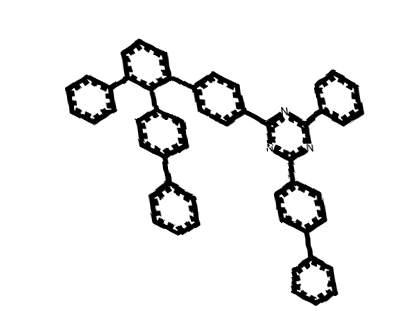 c1ccc(-c2ccc(-c3nc(-c4ccccc4)nc(-c4ccc(-c5cccc(-c6ccccc6)c5-c5ccc(-c6ccccc6)cc5)cc4)n3)cc2)cc1